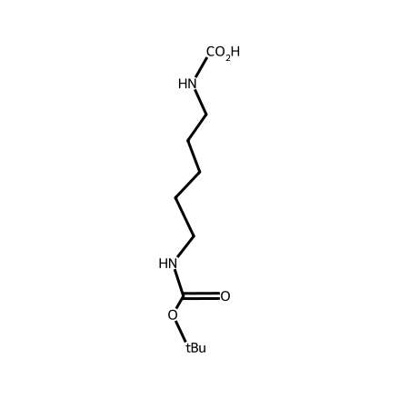 CC(C)(C)OC(=O)NCCCCCNC(=O)O